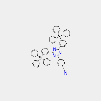 N#Cc1ccc(-c2nc(-c3cccc([Si](c4ccccc4)(c4ccccc4)c4ccccc4)c3)nc(-c3cccc([Si](c4ccccc4)(c4ccccc4)c4ccccc4)c3)n2)cc1